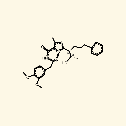 COc1ccc(Cc2nn3c([C@@H](CCCc4ccccc4)[C@H](C)O)nc(C)c3c(=O)[nH]2)cc1OC